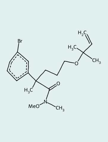 C=CC(C)(C)OCCCC(C)(C(=O)N(C)OC)c1cccc(Br)c1